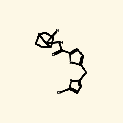 O=C(N[C@H]1CN2CCC1CC2)c1ccc(Sc2ccc(Cl)s2)s1